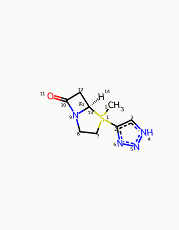 CS1(c2c[nH]nn2)CCN2C(=O)C[C@H]21